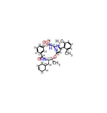 Cc1cccc(C)c1-c1cc2nc(n1)NS(=O)(=O)c1cccc(c1)C(=O)N[C@H](CC1CCCCC1)[C@@H](C)O2